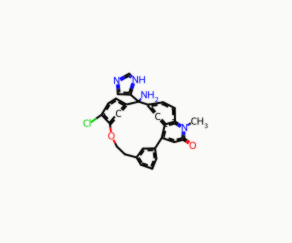 Cn1c(=O)cc2c3cc(ccc31)C(N)(c1cnc[nH]1)c1ccc(Cl)c(c1)OCCc1cccc-2c1